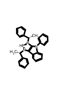 C[C@@H](c1ccccc1)N1PN([C@@H](C)c2ccccc2)c2c1c1ccccc1n2-c1ccccc1